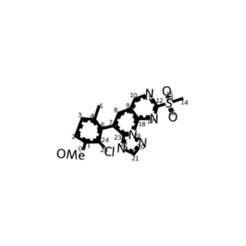 COc1ccc(C)c(-c2cc3cnc(S(C)(=O)=O)nc3n3ncnc23)c1Cl